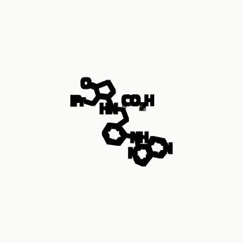 CC(C)CC1=C(N[C@@H](Cc2ccccc2Nc2nccc3cnccc23)C(=O)O)CCC1=O